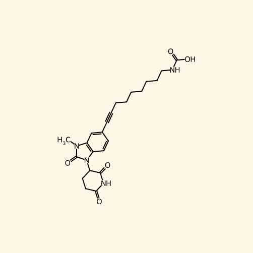 Cn1c(=O)n(C2CCC(=O)NC2=O)c2ccc(C#CCCCCCCCNC(=O)O)cc21